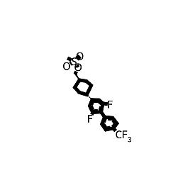 CS(=O)(=O)OC[C@H]1CC[C@H](c2cc(F)c(-c3ccc(C(F)(F)F)cc3)c(F)c2)CC1